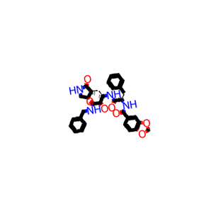 O=C(NCc1ccccc1)C(=O)[C@H](C[C@@H]1CCNC1=O)NC(=O)[C@H](Cc1ccccc1)NC(=O)c1ccc2c(c1)OCO2